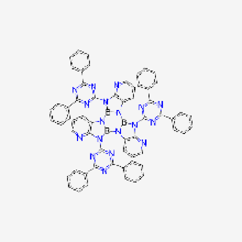 c1ccc(-c2nc(-c3ccccc3)nc(N3B4N(B5N(B6N4c4cccnc4N6c4nc(-c6ccccc6)nc(-c6ccccc6)n4)c4cccnc4N5c4nc(-c5ccccc5)nc(-c5ccccc5)n4)c4cccnc43)n2)cc1